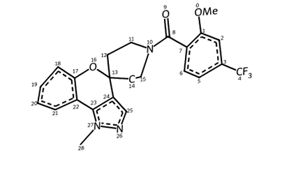 COc1cc(C(F)(F)F)ccc1C(=O)N1CCC2(CC1)Oc1ccccc1-c1c2cnn1C